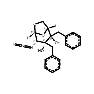 [N-]=[N+]=N[C@@H]1[C@@H]2OC[C@@H](O2)[C@](O)(Cc2ccccc2)[C@@]1(O)Cc1ccccc1